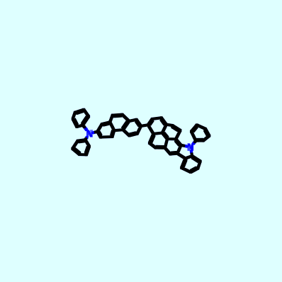 c1ccc(N(c2ccccc2)c2ccc3c(ccc4cc(-c5ccc6ccc7c8c(ccc5c68)cc5c6ccccc6n(-c6ccccc6)c57)ccc43)c2)cc1